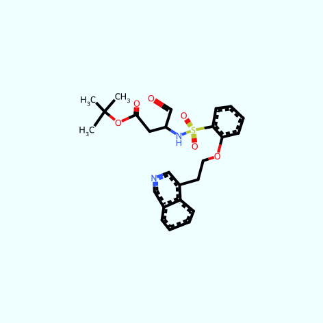 CC(C)(C)OC(=O)CC(C=O)NS(=O)(=O)c1ccccc1OCCc1cncc2ccccc12